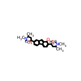 CC(CC(=O)C1=CC=C2C(=Cc3cc(C(=O)CC(C)N(C)C)ccc32)C1=O)N(C)C